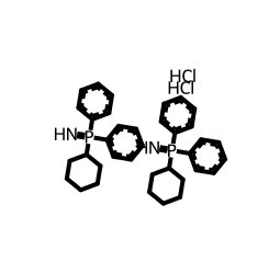 Cl.Cl.N=P(c1ccccc1)(c1ccccc1)C1CCCCC1.N=P(c1ccccc1)(c1ccccc1)C1CCCCC1